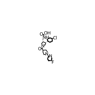 O=C(O)NC[C@H]1CN(C(=O)C2CCN(c3ccc(F)cn3)CC2)C[C@H]1c1ccc(Cl)cc1